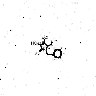 CC(=O)C1=C(O)C(=O)N(Cc2ccccc2)C1CC(C)C